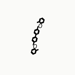 Cc1ccccc1OCc1ccc(-c2ccc(COc3ccccc3C)cc2)cc1